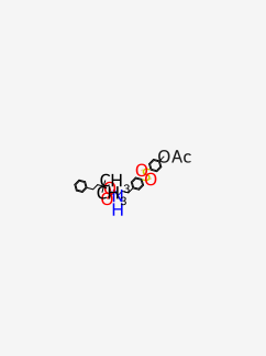 CC(=O)Oc1ccc(S(=O)(=O)c2ccc(CCNC(=O)OC(C)(C)CCc3ccccc3)cc2)cc1